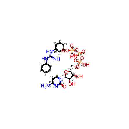 N=C(Nc1ccccc1)Nc1ccccc1.Nc1ccn([C@@H]2O[C@H](COP(=O)(O)OP(=O)(O)OP(=O)(O)O)[C@@H](O)[C@H]2O)c(=O)n1